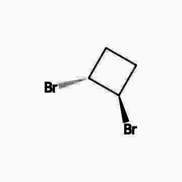 Br[C@@H]1CC[C@H]1Br